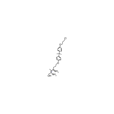 C/C(=C(/N)CO)N(N)CCCOc1ccc(C(C)(C)c2ccc(OCCCCl)cc2)cc1